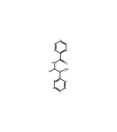 CC(NC(=O)c1ccccc1)C(O)c1ccccc1